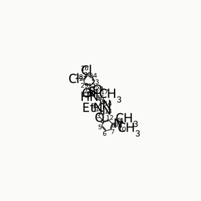 CCn1c(Oc2cccc(N(C)C)c2)nnc1[C@@H](C)NS(=O)(=O)c1ccc(Cl)c(Cl)c1